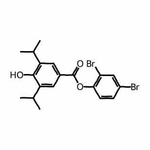 CC(C)c1cc(C(=O)Oc2ccc(Br)cc2Br)cc(C(C)C)c1O